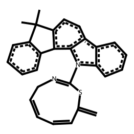 C=C1/C=C\C=C/C/N=C(/n2c3ccccc3c3ccc4c(c32)-c2ccccc2C4(C)C)S1